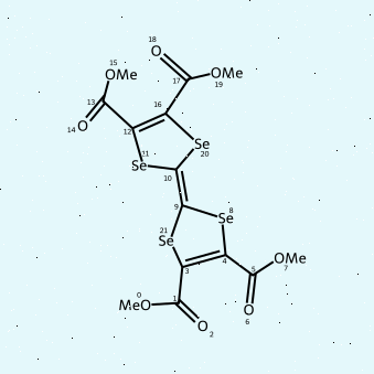 COC(=O)C1=C(C(=O)OC)[Se]C(=C2[Se]C(C(=O)OC)=C(C(=O)OC)[Se]2)[Se]1